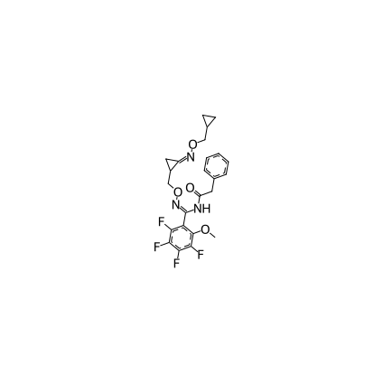 COc1c(F)c(F)c(F)c(F)c1C(=NOCC1CC1=NOCC1CC1)NC(=O)Cc1ccccc1